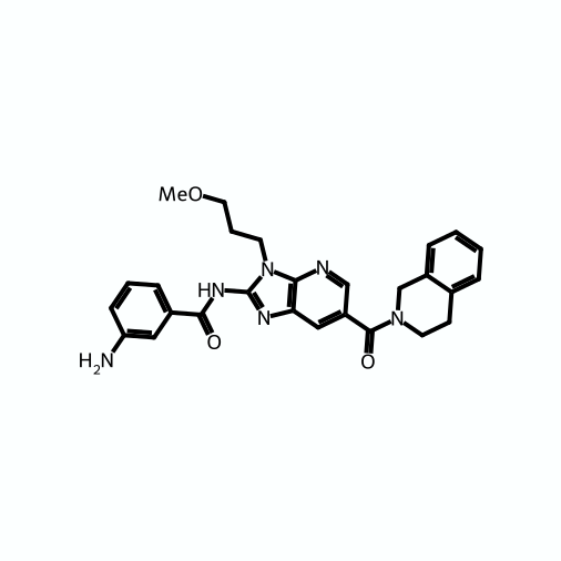 COCCCn1c(NC(=O)c2cccc(N)c2)nc2cc(C(=O)N3CCc4ccccc4C3)cnc21